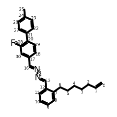 C=CCCCCCc1ccccc1C=NN=Cc1ccc(-c2ccc(C)cc2)c(F)c1